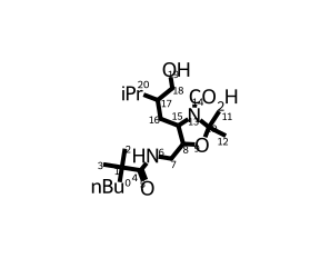 CCCCC(C)(C)C(=O)NCC1OC(C)(C)N(C(=O)O)C1CC(CO)C(C)C